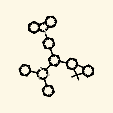 CC1(C)c2ccccc2-c2ccc(-c3cc(-c4ccc(-n5c6ccccc6c6ccccc65)cc4)cc(-c4nc(-c5ccccc5)nc(-c5ccccc5)n4)c3)cc21